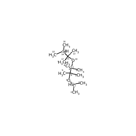 C[SiH](C)OC(C)(C)[Si](C)(C)OC(C)(C)[SiH](C)C